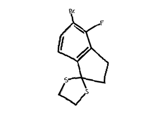 Fc1c(Br)ccc2c1CCC21SCCS1